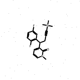 Cn1cccc(C(CC#C[Si](C)(C)C)c2cc(F)ccc2F)c1=O